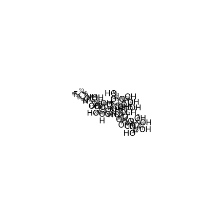 C[C@H](OC(OC(CO)[C@H](C)OC1OC(CO)C(O)C(O)C1O)C(O)O)C(CO)OC(OC1C(CO)OC(O[C@@H](C)C(CO)OC(OC(CO)C(O)C(O)c2nc3cc(F)ccc3[nH]2)C(O)O)C(O)C1O)C(O)O